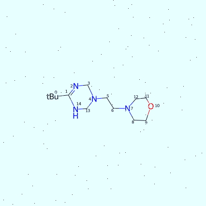 CC(C)(C)C1=NCN(CCN2CCOCC2)CN1